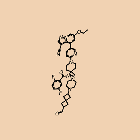 CCOc1cc(-c2ccc(N3CCC(CN4CCN(C5CC6(CC(C=O)C6)C5)CC4)(NC(=O)c4cc(F)ccc4F)CC3)nc2)c2c(C#N)cnn2c1